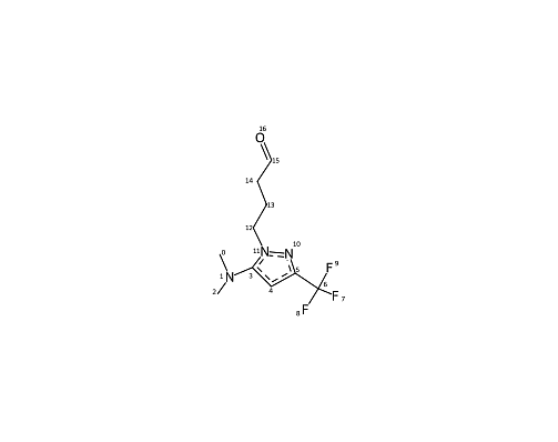 CN(C)c1cc(C(F)(F)F)nn1CCCC=O